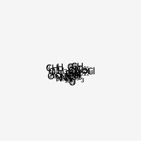 CCOC(=O)c1ccc(N2CCN(C(=O)c3ccn4c(-c5ccc(Cl)cc5)nc(C(C)(C)C)c4n3)C(C)(C)C2)nc1